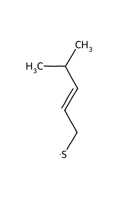 CC(C)C=CC[S]